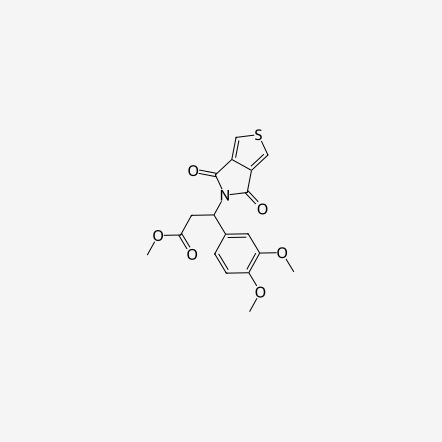 COC(=O)CC(c1ccc(OC)c(OC)c1)N1C(=O)c2cscc2C1=O